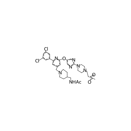 CC(=O)NCC1CCN(Cc2cc(Oc3cnc(N4CCN(CCS(C)(=O)=O)CC4)nc3)nc(-c3cc(Cl)cc(Cl)c3)c2)CC1